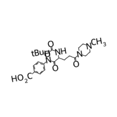 CN1CCN(C(=O)CCC(NC(=O)OC(C)(C)C)C(=O)Nc2ccc(C(=O)O)cc2)CC1